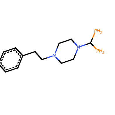 PC(P)N1CCN(CCc2ccccc2)CC1